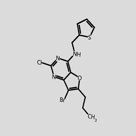 CCCc1oc2c(NCc3cccs3)nc(Cl)nc2c1Br